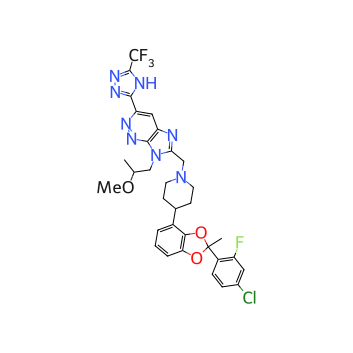 COC(C)Cn1c(CN2CCC(c3cccc4c3OC(C)(c3ccc(Cl)cc3F)O4)CC2)nc2cc(-c3nnc(C(F)(F)F)[nH]3)nnc21